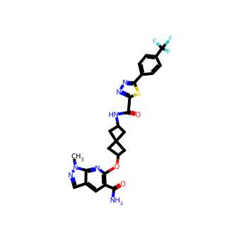 Cn1ncc2cc(C(N)=O)c(OC3CC4(CC(NC(=O)c5nnc(-c6ccc(C(F)(F)F)cc6)s5)C4)C3)nc21